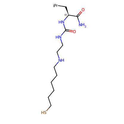 CC(C)C[C@H](NC(=O)NCCNCCCCCCS)C(N)=O